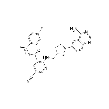 C[C@H](NC(=O)c1cc(C#N)cnc1NCC1CC=C(c2ccc3ncnc(N)c3c2)S1)c1ccc(F)cc1